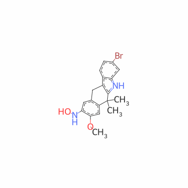 COc1cc2c(cc1NO)Cc1c([nH]c3cc(Br)ccc13)C2(C)C